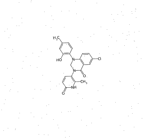 Cc1ccc(N2CN(c3ccc(=O)[nH]c3C)C(=O)c3cc(Cl)ccc32)c(O)c1